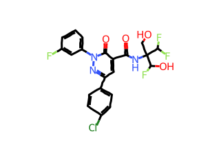 O=C(NC(CO)(C(O)F)C(F)F)c1cc(-c2ccc(Cl)cc2)nn(-c2cccc(F)c2)c1=O